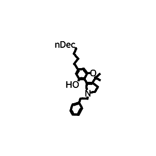 CCCCCCCCCCCCCCc1cc(O)c2c(c1)OC(C)(C)C1=C2CN(CCc2ccccc2)CC1